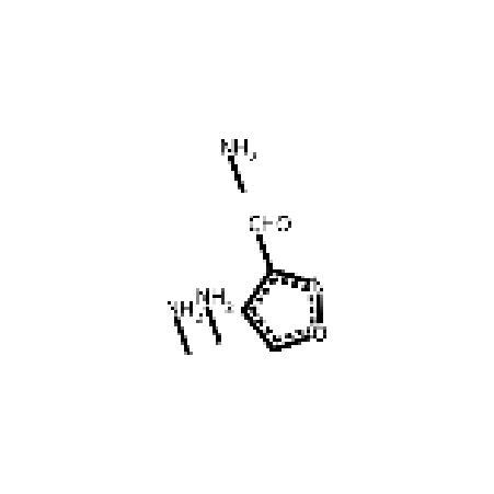 CN.CN.CN.O=Cc1ccon1